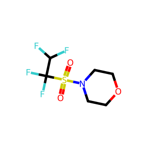 O=S(=O)(N1CCOCC1)C(F)(F)C(F)F